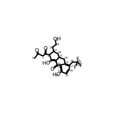 CC(=O)CC(=O)C1C(O)=C2C(=O)c3c(O)ccc(CC(F)(F)F)c3CC2CC1CCO